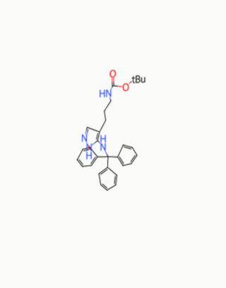 CC(C)(C)OC(=O)NCCCc1cn[nH]c1NC(c1ccccc1)(c1ccccc1)c1ccccc1